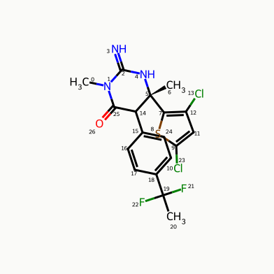 CN1C(=N)N[C@](C)(c2sc(Cl)cc2Cl)C(c2ccc(C(C)(F)F)cc2)C1=O